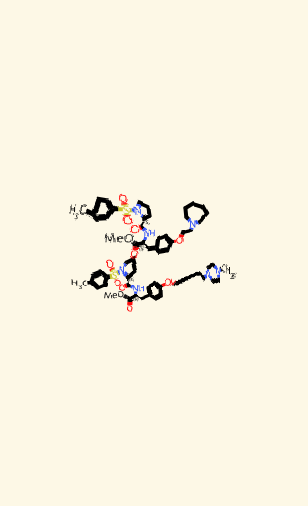 COC(=O)[C@H](Cc1ccc(OCCCN2CCN(C)CC2)cc1)NC(=O)[C@@H]1CCCN1S(=O)(=O)c1ccc(C)cc1.COC(=O)[C@H](Cc1ccc(OCCN2CCCCCC2)cc1)NC(=O)[C@@H]1CCCN1S(=O)(=O)c1ccc(C)cc1